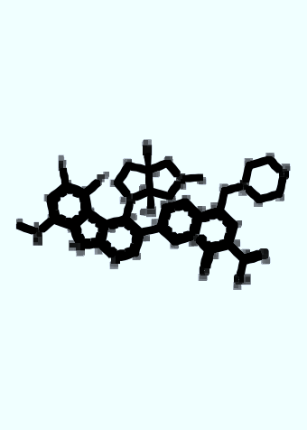 CNc1cc(F)c(F)c2c1[nH]c1ncc(-c3ccc4c(CN5CCOCC5)cc(C(=O)O)c(=O)n4c3)c(N3CC[C@@H]4CN(C)C[C@@H]43)c12